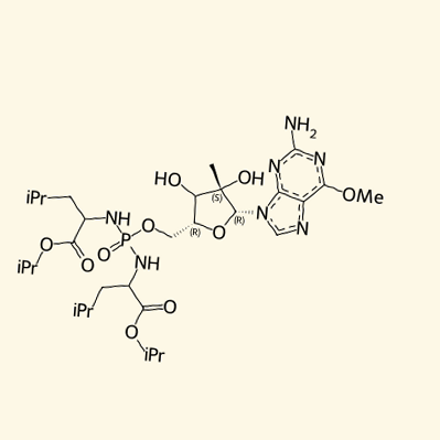 COc1nc(N)nc2c1ncn2[C@@H]1O[C@H](COP(=O)(NC(CC(C)C)C(=O)OC(C)C)NC(CC(C)C)C(=O)OC(C)C)C(O)[C@]1(C)O